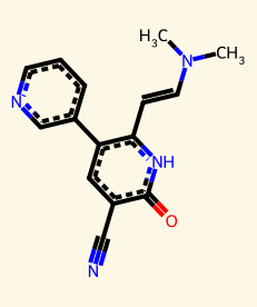 CN(C)/C=C/c1[nH]c(=O)c(C#N)cc1-c1cccnc1